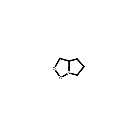 C1CC2COON2C1